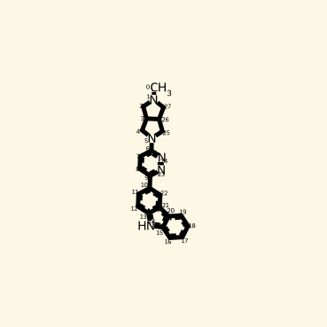 CN1CC2CN(c3ccc(-c4ccc5[nH]c6ccccc6c5c4)nn3)CC2C1